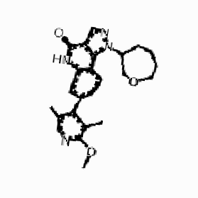 COc1ncc(C)c(-c2ccc3c(c2)[nH]c(=O)c2cnn(C4CCCCOC4)c23)c1C